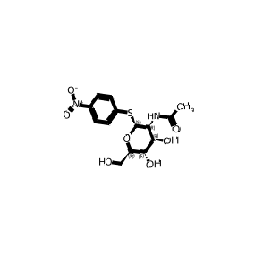 CC(=O)N[C@@H]1[C@@H](O)[C@H](O)[C@@H](CO)O[C@H]1Sc1ccc([N+](=O)[O-])cc1